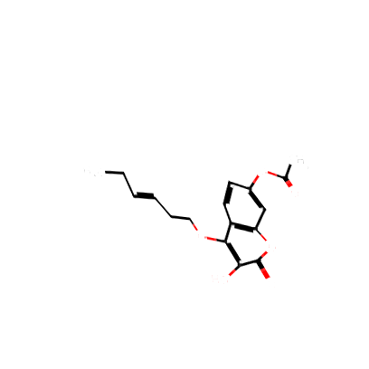 CC/C=C/CCOc1c(O)c(=O)oc2cc(OC(C)=O)ccc12